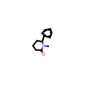 CN1C(=O)CCCC1c1ccccc1